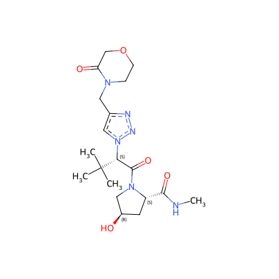 CNC(=O)[C@@H]1C[C@@H](O)CN1C(=O)[C@@H](n1cc(CN2CCOCC2=O)nn1)C(C)(C)C